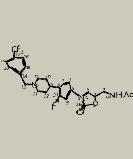 CC(=O)NCC1CN(c2ccc(C3CCN(Cc4ccc(C(F)(F)F)cc4)CC3)c(F)c2)C(=O)O1